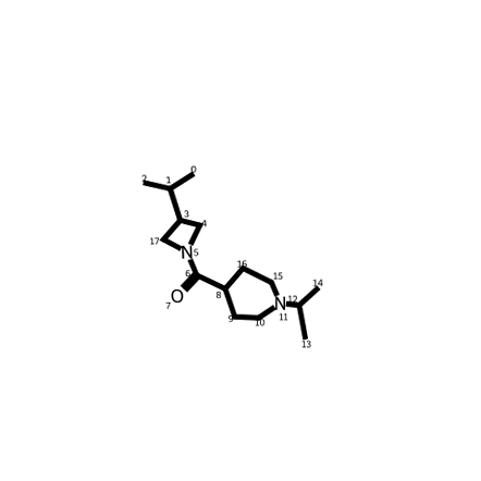 CC(C)C1CN(C(=O)C2CCN(C(C)C)CC2)C1